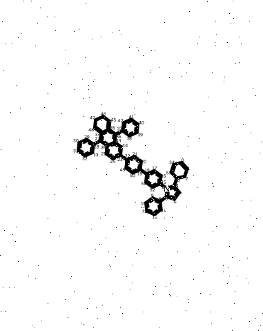 C1=CCC(c2ccc(-c3ccccc3)n2-c2ccc(-c3ccc(-c4ccc5c(-c6ccccc6)c6c(c(-c7ccccc7)c5c4)=CCCC=6)cc3)cc2)C=C1